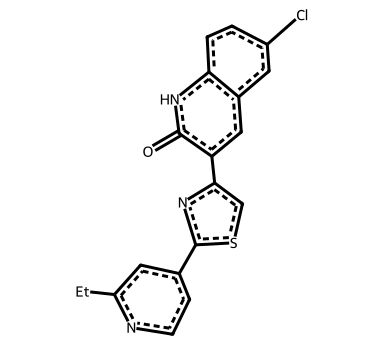 CCc1cc(-c2nc(-c3cc4cc(Cl)ccc4[nH]c3=O)cs2)ccn1